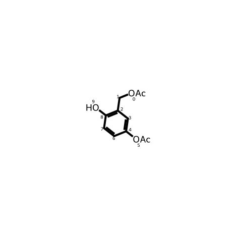 CC(=O)OCc1cc(OC(C)=O)ccc1O